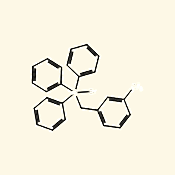 FC(F)(F)c1cccc(CP(Br)(c2ccccc2)(c2ccccc2)c2ccccc2)c1